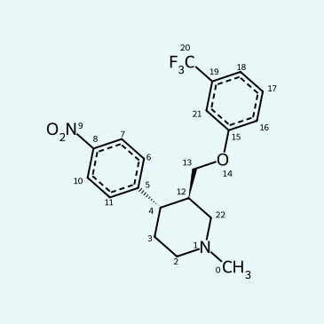 CN1CC[C@H](c2ccc([N+](=O)[O-])cc2)[C@@H](COc2cccc(C(F)(F)F)c2)C1